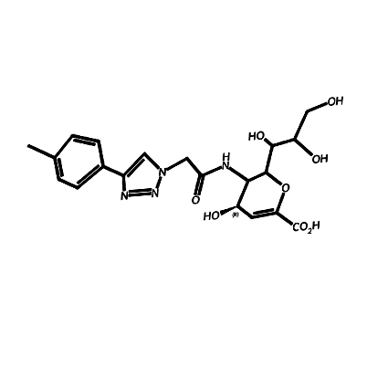 Cc1ccc(-c2cn(CC(=O)NC3C(C(O)C(O)CO)OC(C(=O)O)=C[C@H]3O)nn2)cc1